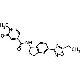 CCc1nc(-c2ccc3c(c2)CC[C@H]3NC(=O)c2ccn(C)c(=O)c2)no1